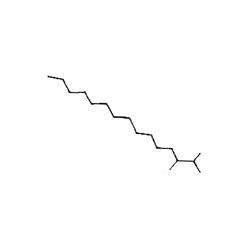 CCCCCCCCCCCC[CH]([Na])C(C)O